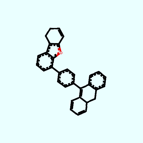 C1=CC2=C(c3ccc(-c4cccc5c6c(oc45)C=CCC6)cc3)c3ccccc3CC2C=C1